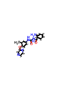 Cc1cc(NC(=O)NC(=O)c2ccccc2N)ccc1Oc1cnccn1